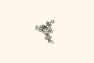 COc1coc(CN(C(=O)OCC(Cl)(Cl)Cl)C2CCN(C(=O)[C@@H](NC(=O)[C@@H](CNC(=O)OCc3ccccc3)CC3CCCC3)C(C)(C)C)CC2)cc1=O